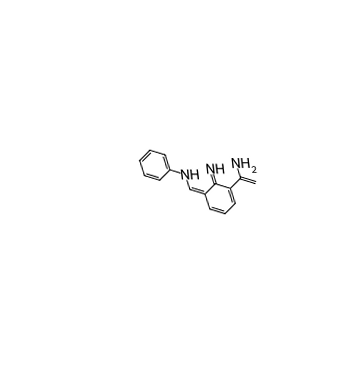 C=C(N)C1=CC=C/C(=C/Nc2ccccc2)C1=N